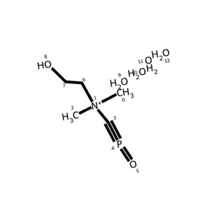 C[N+](C)(C#P=O)CCO.O.O.O.O